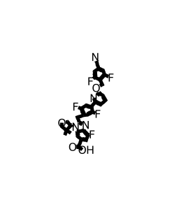 CC1(C)COC[C@H]1n1c(Cc2cc(F)c(-c3cccc(OCc4c(F)cc(C#N)cc4F)n3)cc2F)nc2c(F)cc(C(=O)O)cc21